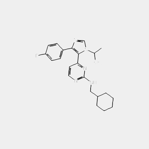 CC(n1cnc(-c2ccc(F)cc2)c1-c1ccnc(NCC2CCCCC2)n1)C(F)(F)F